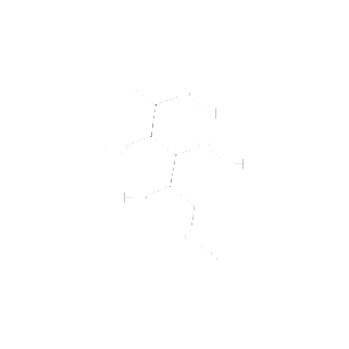 CC(OS)C(O)C(OS)C(O)COS